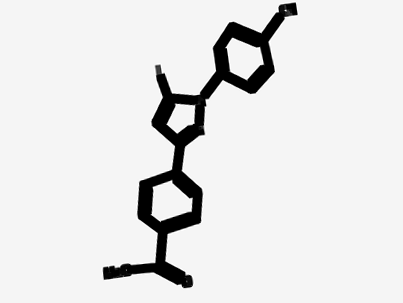 COC(=O)c1ccc(-c2cc(I)n(-c3ccc(C#N)cc3)n2)cc1